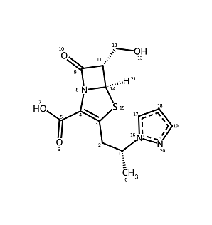 C[C@H](CC1=C(C(=O)O)N2C(=O)[C@H](CO)[C@H]2S1)n1cccn1